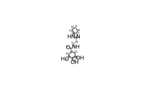 O=C(NCCc1nc2ccccc2[nH]1)c1cc(O)c(O)c(O)c1